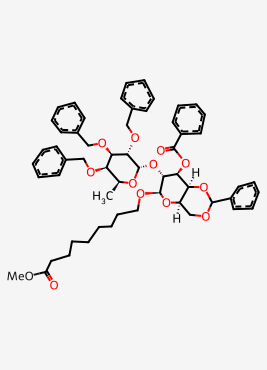 COC(=O)CCCCCCCCO[C@@H]1O[C@@H]2COC(c3ccccc3)O[C@@H]2[C@H](OC(=O)c2ccccc2)[C@H]1O[C@@H]1O[C@@H](C)[C@@H](OCc2ccccc2)[C@@H](OCc2ccccc2)[C@@H]1OCc1ccccc1